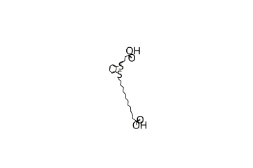 O=C(O)CCCCCCCCCCCCCSc1ccccc1SCCCC(=O)O